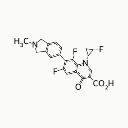 CN1Cc2ccc(-c3c(F)cc4c(=O)c(C(=O)O)cn([C@@H]5C[C@@H]5F)c4c3F)cc2C1